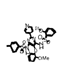 CCOc1ccccc1S(=O)(=O)Nc1nc(-c2ccncc2)nc(NS(=O)(=O)c2ccc(C)cc2)c1Oc1ccccc1OC